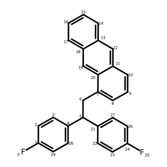 Fc1ccc(C(Cc2cccc3cc4ccccc4cc23)c2ccc(F)cc2)cc1